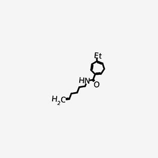 C=CCCCCNC(=O)C1=CCC=C(CC)C=C1